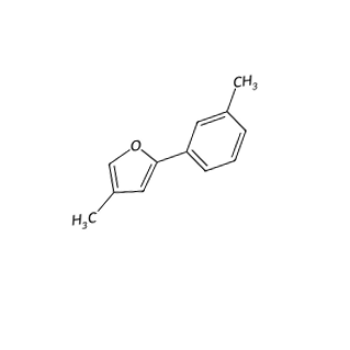 Cc1cccc(-c2cc(C)co2)c1